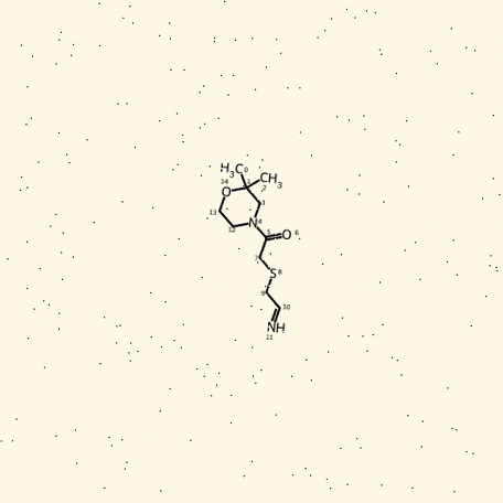 CC1(C)CN(C(=O)CSCC=N)CCO1